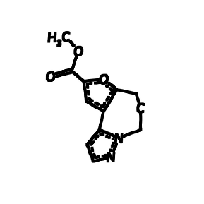 COC(=O)c1cc2c(o1)CCCn1nccc1-2